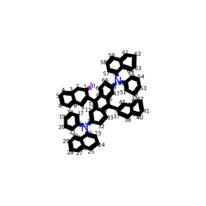 IC1Cc2ccccc2C=C1c1c2cc(N(c3ccccc3)c3cccc4ccccc34)ccc2c(-c2ccc3ccccc3c2)c2cc(N(c3ccccc3)c3cccc4ccccc34)ccc12